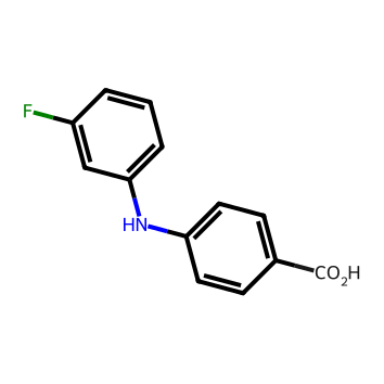 O=C(O)c1ccc(Nc2cccc(F)c2)cc1